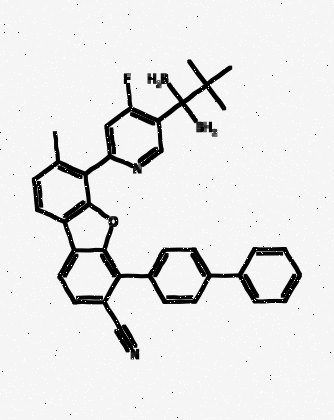 BC(B)(c1cnc(-c2c(C)ccc3c2oc2c(-c4ccc(-c5ccccc5)cc4)c(C#N)ccc23)cc1F)C(C)(C)C